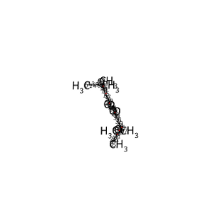 CCCCCCCC(OC)C(C)CCCCCCCCC(=O)OCCOC(=O)CCCCCCCCC(C)C(CCCCCCC)OC